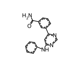 NC(=O)c1cccc(-c2cc(Nc3ccccc3)ncn2)c1